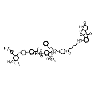 CC1(C)CCC(CN2CCN(c3ccc(C(=O)NS(=O)(=O)c4ccc(N[C@H](CCN5CCN(C(=O)CCCCCCNc6cccc7c6C(=O)N(C6CCC(=O)NC6=O)C7=O)CC5)CSc5ccccc5)c(S(=O)(=O)C(F)(F)F)c4)cc3)CC2)=C(C23CC(C)(C2)C3)C1